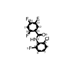 O=C(Nc1c(F)cccc1Cl)c1cc(F)c(F)cc1F